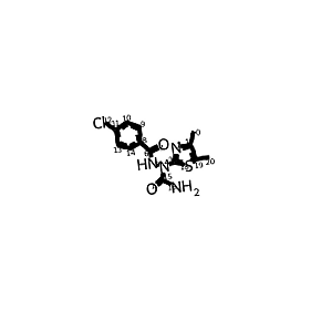 Cc1nc(N(NC(=O)c2ccc(Cl)cc2)C(N)=O)sc1C